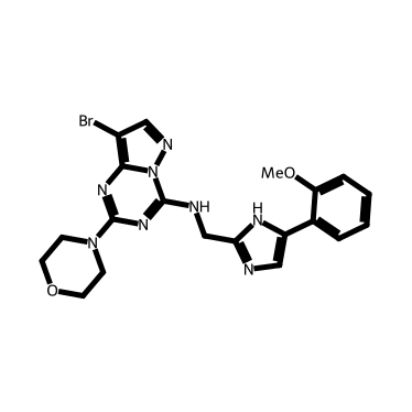 COc1ccccc1-c1cnc(CNc2nc(N3CCOCC3)nc3c(Br)cnn23)[nH]1